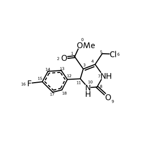 COC(=O)C1=C(CCl)NC(=O)NC1c1ccc(F)cc1